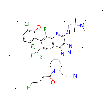 COc1c(Cl)cccc1-c1c(C(F)(F)F)cc2c(nc(N3CC(C)(N(C)C)C3)c3nnn([C@H]4CCN(C(=O)/C=C/CF)C(CC#N)C4)c32)c1F